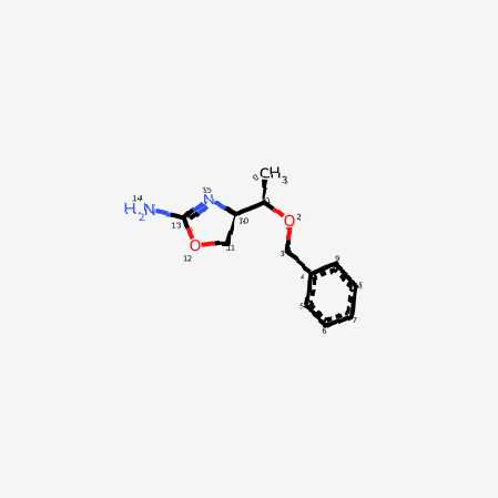 C[C@@H](OCc1ccccc1)[C@H]1COC(N)=N1